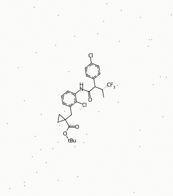 C[C@H](C(C(=O)Nc1cccc(CC2(C(=O)OC(C)(C)C)CC2)c1Cl)c1ccc(Cl)cc1)C(F)(F)F